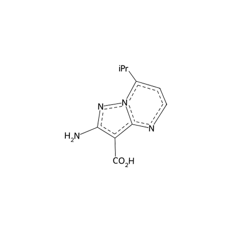 CC(C)c1ccnc2c(C(=O)O)c(N)nn12